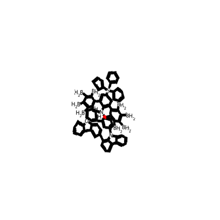 Bc1c(B)c(B)c(-c2cc(S(c3ccccc3)(c3ccccc3)c3ccccc3)cc(-c3c(B)c(B)c(B)c(B)c3B)c2-n2c3ccccc3c3cc(-n4c5ccccc5c5cccc(-c6ccc7oc8ccccc8c7c6)c54)ccc32)c(B)c1B